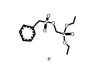 CCOP(=O)(COS(=O)(=O)Cc1ccccc1)OCC.[P]